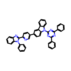 c1ccc(-c2nc(-c3ccccc3)nc(-n3c4ccccc4c4cc(-c5ccc(-c6nc7ccccc7n6-c6ccccc6)nc5)ccc43)n2)cc1